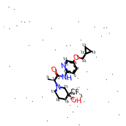 C[C@@H](C(=O)Nc1ccc(OCC2CC2)cn1)N1CCC[C@](O)(C(F)(F)F)C1